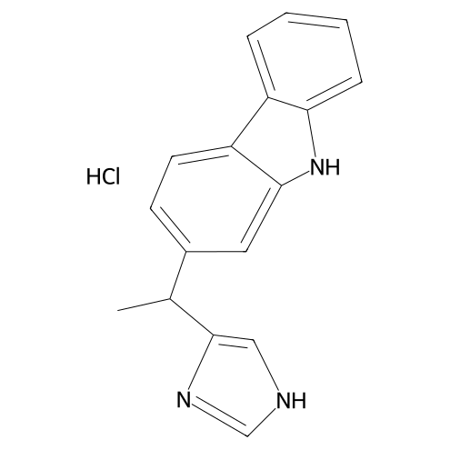 CC(c1ccc2c(c1)[nH]c1ccccc12)c1c[nH]cn1.Cl